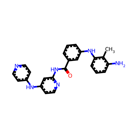 Cc1c(N)cccc1Nc1cccc(C(=O)Nc2cc(Nc3ccncc3)ccn2)c1